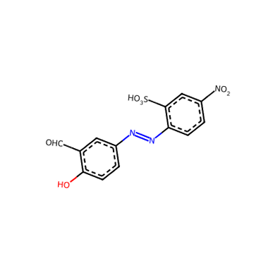 O=Cc1cc(N=Nc2ccc([N+](=O)[O-])cc2S(=O)(=O)O)ccc1O